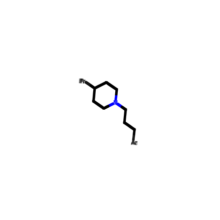 CC(=O)CCCN1CCC(C(C)C)CC1